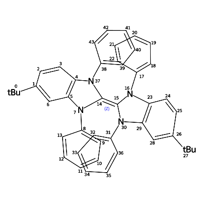 CC(C)(C)c1ccc2c(c1)N(c1ccccc1)/C(=C1/N(c3ccccc3)c3ccc(C(C)(C)C)cc3N1c1ccccc1)N2c1ccccc1